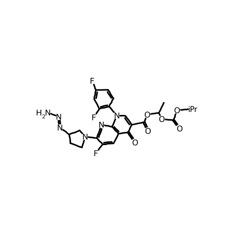 CC(C)OC(=O)OC(C)OC(=O)c1cn(-c2ccc(F)cc2F)c2nc(N3CCC(N=NN)C3)c(F)cc2c1=O